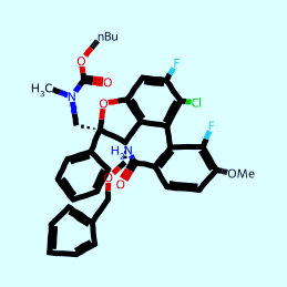 CCCCOC(=O)N(C)C[C@]1(c2ccccc2)Oc2cc(F)c(Cl)c(-c3c(C(N)=O)ccc(OC)c3F)c2[C@@H]1COCc1ccccc1